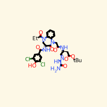 CCC(=O)N1C[C@H](NC(=O)c2cc(Cl)c(O)c(Cl)c2)C(=O)N(CC(=O)N[C@H](/C=N/NC(N)=O)CC(=O)OC(C)(C)C)c2ccccc21